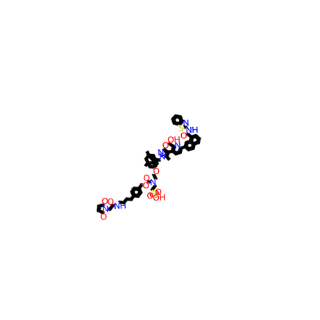 Cc1c(-c2ccc(-c3ccc4cccc(C(=O)Nc5nc6ccccc6s5)c4c3)nc2C(=O)O)cnn1CC12CC3(C)CC(C)(C1)CC(OCCN(CCS(=O)(=O)O)C(=O)OCc1[c]cc(CCCCNC(=O)CN4C(=O)C=CC4=O)cc1)(C3)C2